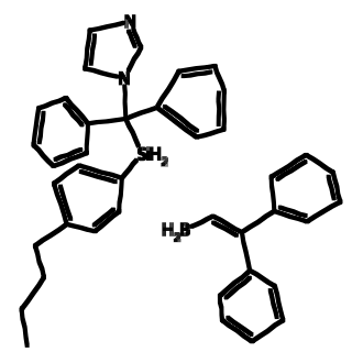 BC=C(c1ccccc1)c1ccccc1.CCCCc1ccc([SiH2]C(c2ccccc2)(c2ccccc2)n2ccnc2)cc1